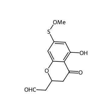 COSc1cc(O)c2c(c1)OC(CC=O)CC2=O